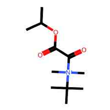 CC(C)OC(=O)C(=O)[N+](C)(C)C(C)(C)C